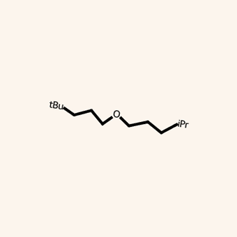 CC(C)CCCOCCCC(C)(C)C